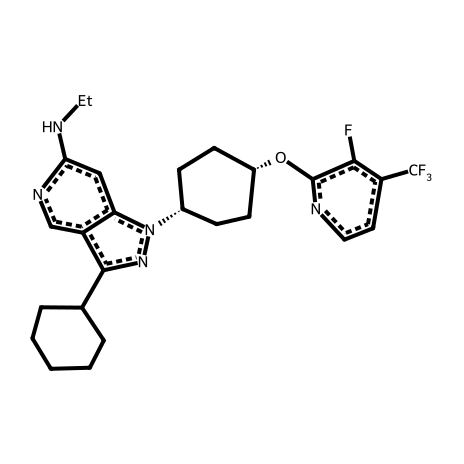 CCNc1cc2c(cn1)c(C1CCCCC1)nn2[C@H]1CC[C@@H](Oc2nccc(C(F)(F)F)c2F)CC1